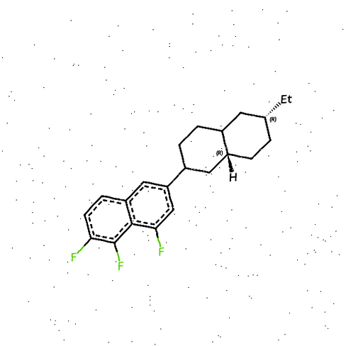 CC[C@@H]1CC[C@@H]2CC(c3cc(F)c4c(F)c(F)ccc4c3)CCC2C1